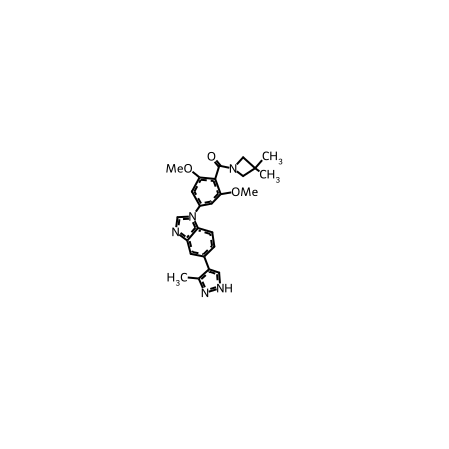 COc1cc(-n2cnc3cc(-c4c[nH]nc4C)ccc32)cc(OC)c1C(=O)N1CC(C)(C)C1